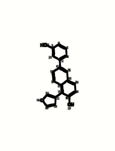 Oc1cccc(-c2ccc3c(-c4ccoc4)c(O)ccc3c2)c1